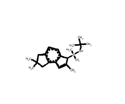 CC1=Cc2c(ccc3c2CC(C)(C)C3)C1[Si](C)(C)NC(C)(C)C